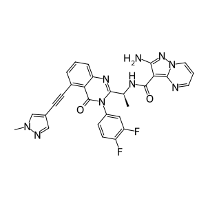 C[C@H](NC(=O)c1c(N)nn2cccnc12)c1nc2cccc(C#Cc3cnn(C)c3)c2c(=O)n1-c1ccc(F)c(F)c1